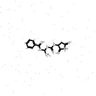 CC(OC(=O)OC1CC(=O)NC1=O)OC(=O)c1ccccc1